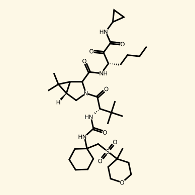 CCCC[C@H](NC(=O)C1C2[C@H](CN1C(=O)[C@@H](NC(=O)NC1(CS(=O)(=O)C3(C)CCOCC3)CCCCC1)C(C)(C)C)C2(C)C)C(=O)C(=O)NC1CC1